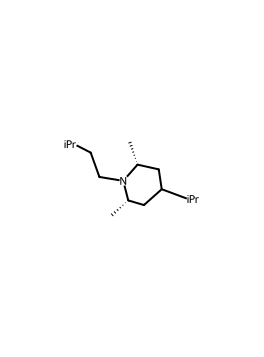 CC(C)CCN1[C@H](C)CC(C(C)C)C[C@@H]1C